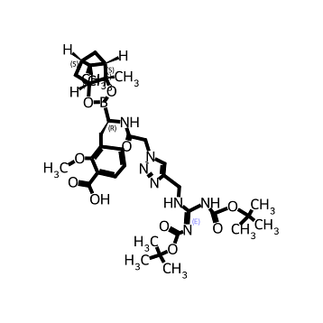 COc1c(C[C@H](NC(=O)Cn2cc(CN/C(=N\C(=O)OC(C)(C)C)NC(=O)OC(C)(C)C)nn2)B2O[C@@H]3C[C@@H]4C[C@@H](C4(C)C)[C@]3(C)O2)cccc1C(=O)O